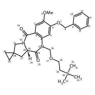 COc1cc2c(cc1OCc1ccccc1)N(COCC[Si](C)(C)C)C(=O)[C@@H]1CC3(CC3)CN1C2=O